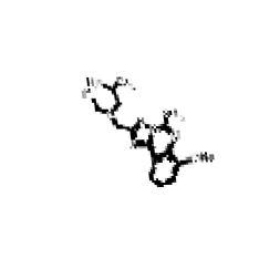 COc1cccc2c1nc(N)n1nc(CN(CC(C)C)CC(C)P)nc21